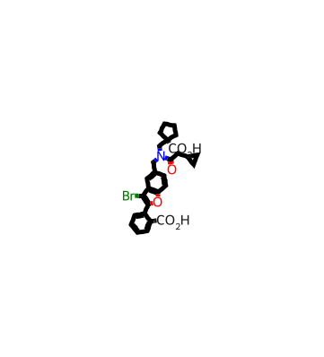 O=C(O)c1ccccc1-c1oc2ccc(CN(CC3(C(=O)O)CCCC3)C(=O)CC3CC3)cc2c1Br